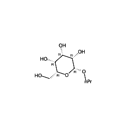 CCCO[C@@H]1O[C@H](CO)[C@H](O)[C@H](O)[C@@H]1O